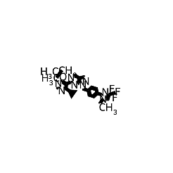 CCn1cc(C(F)(F)F)nc1-c1ccc(Cn2ncc3cnc(-c4c(OC(C)(C)C)ncnc4C4CC4)nc32)cc1